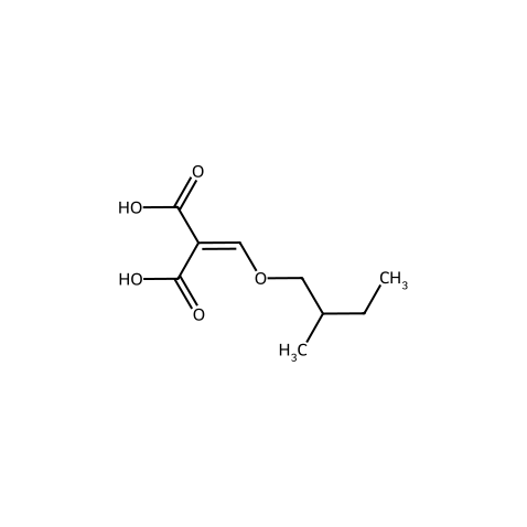 CCC(C)COC=C(C(=O)O)C(=O)O